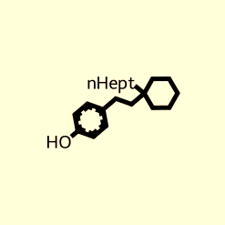 CCCCCCCC1(CCc2ccc(O)cc2)CCCCC1